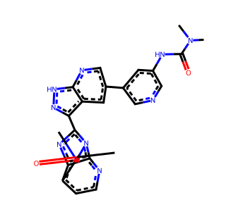 CN(C)C(=O)Nc1cncc(-c2cnc3[nH]nc(-c4nc5c6ccnc5n4N(C)C6=O)c3c2)c1